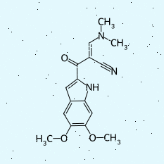 COc1cc2cc(C(=O)C(C#N)=CN(C)C)[nH]c2cc1OC